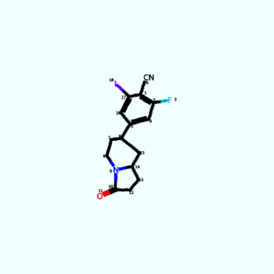 N#Cc1c(F)cc(C2CCN3C(=O)CCC3C2)cc1I